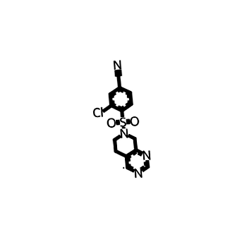 N#Cc1ccc(S(=O)(=O)N2CCc3[c]ncnc3C2)c(Cl)c1